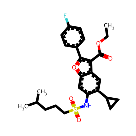 CCOC(=O)c1c(-c2ccc(F)cc2)oc2cc(NS(=O)(=O)CCCC(C)C)c(C3CC3)cc12